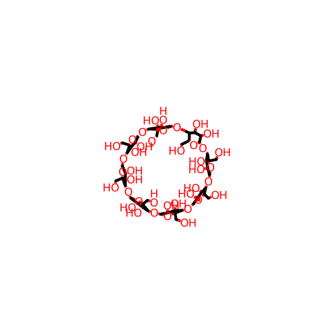 COCC1OC2OC3C(CO)OC(OC4C(CO)OC(OC5C(CO)OC(OC6C(CO)OC(OC7C(CO)OC(OC8C(CO)OC(OC9C(CO)OC(OC1C(O)C2O)C(O)C9O)C(O)C8O)C(O)C7O)C(O)C6O)C(O)C5O)C(O)C4O)C(O)C3O